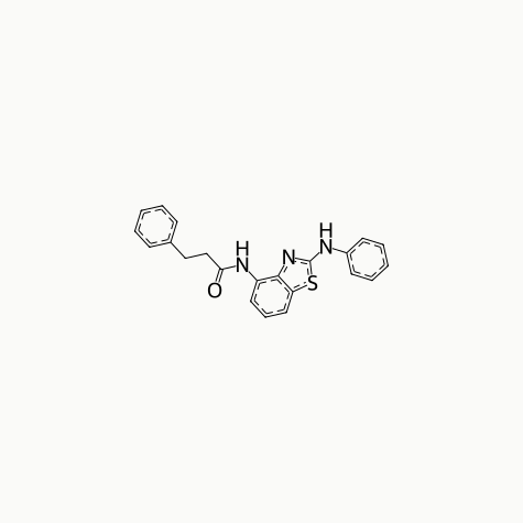 O=C(CCc1ccccc1)Nc1cccc2sc(Nc3ccccc3)nc12